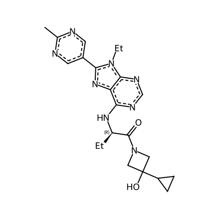 CC[C@@H](Nc1ncnc2c1nc(-c1cnc(C)nc1)n2CC)C(=O)N1CC(O)(C2CC2)C1